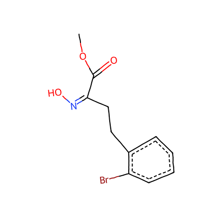 COC(=O)C(CCc1ccccc1Br)=NO